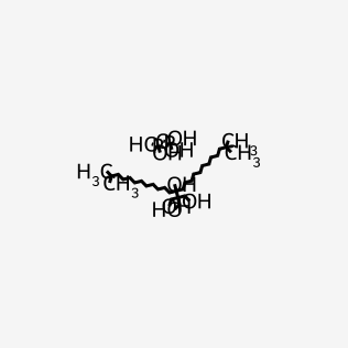 CC(C)CCCCCCCCCCC(O)(CCCCCCCCCCC(C)C)C(CO)(CO)CO.OP(O)OP(O)O